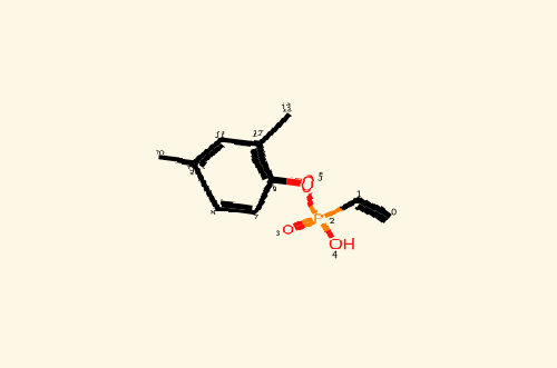 C=CP(=O)(O)Oc1ccc(C)cc1C